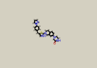 O=C1CN(c2ccc3c(c2)CN(C2NC=C(Cc4ccc(-n5cccn5)cc4)S2)CC3)CCN1